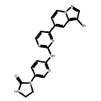 CC(C)c1cnn2ccc(-c3ccnc(Nc4ccc(N5CCNC5=O)cn4)n3)cc12